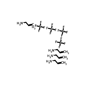 C=CC[NH3+].C=CC[NH3+].C=CC[NH3+].C=CC[NH3+].F[B-](F)(F)F.F[B-](F)(F)F.F[B-](F)(F)F.F[B-](F)(F)F